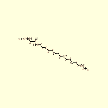 NNCCOCCOCCOCCOCCNC(=O)CNC=O